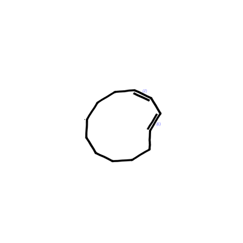 [CH]1CC/C=C\C=C\CCCCC1